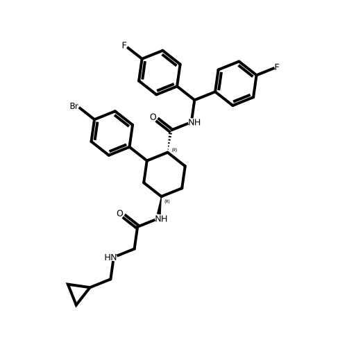 O=C(CNCC1CC1)N[C@@H]1CC[C@@H](C(=O)NC(c2ccc(F)cc2)c2ccc(F)cc2)C(c2ccc(Br)cc2)C1